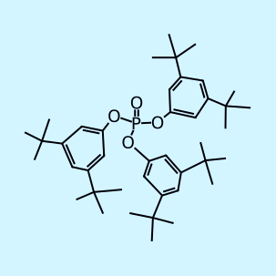 CC(C)(C)c1cc(OP(=O)(Oc2cc(C(C)(C)C)cc(C(C)(C)C)c2)Oc2cc(C(C)(C)C)cc(C(C)(C)C)c2)cc(C(C)(C)C)c1